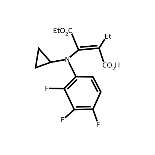 CCOC(=O)C(=C(CC)C(=O)O)N(c1ccc(F)c(F)c1F)C1CC1